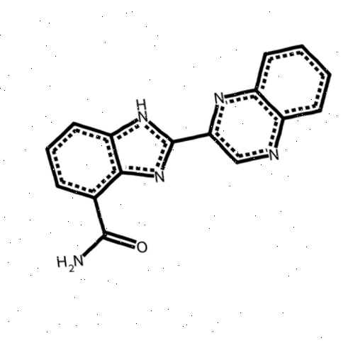 NC(=O)c1cccc2[nH]c(-c3cnc4ccccc4n3)nc12